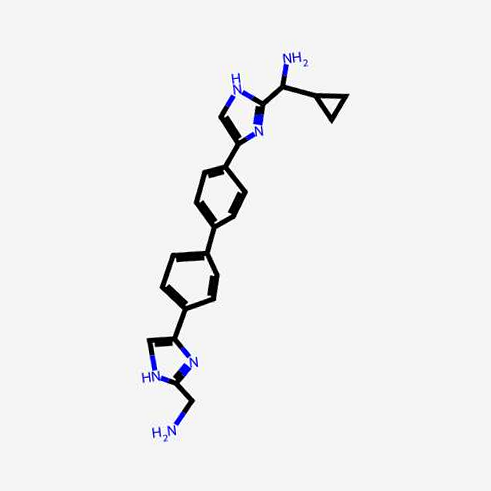 NCc1nc(-c2ccc(-c3ccc(-c4c[nH]c(C(N)C5CC5)n4)cc3)cc2)c[nH]1